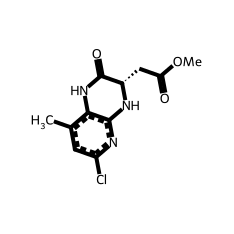 COC(=O)C[C@@H]1Nc2nc(Cl)cc(C)c2NC1=O